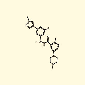 Cc1ccc(N2CCN(C)CC2)cc1C(=O)N[C@H](C)c1cc(F)cc(-c2cnn(C)c2)c1